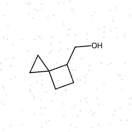 OCC1CCC12CC2